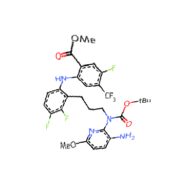 COC(=O)c1cc(F)c(C(F)(F)F)cc1Nc1ccc(F)c(F)c1CCCN(C(=O)OC(C)(C)C)c1nc(OC)ccc1N